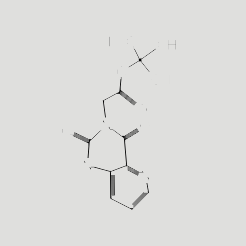 CC(C)(C)OC(=O)Cn1c(=O)[nH]c2cccnc2c1=O